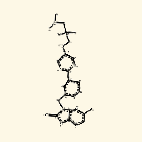 Cc1ccc2oc(=O)n(Cc3cccc(-c4ncc(OCC(C)(C)CN(C)C)cn4)c3)c2n1